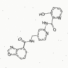 O=C(Nc1cc(CNC(=O)c2cccc3ocnc23)ccn1)c1ncccc1O